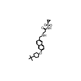 CC(C)(C)C1CCC(Oc2ccc3cc(CNCCC(=O)NS(=O)(=O)C4CC4)ccc3c2)CC1